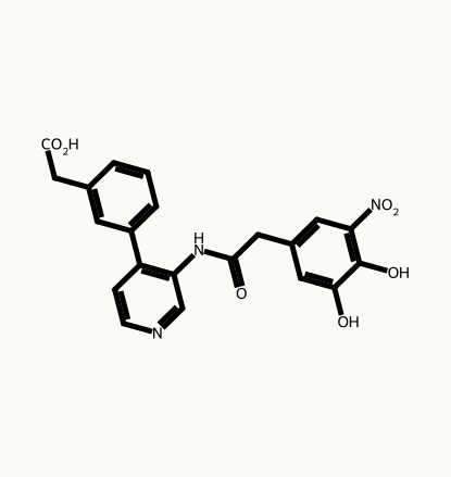 O=C(O)Cc1cccc(-c2ccncc2NC(=O)Cc2cc(O)c(O)c([N+](=O)[O-])c2)c1